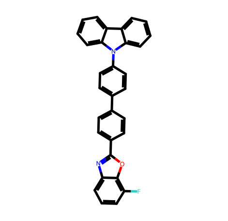 Fc1cccc2nc(-c3ccc(-c4ccc(-n5c6ccccc6c6ccccc65)cc4)cc3)oc12